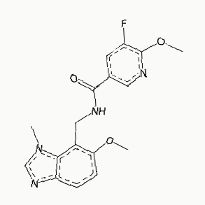 COc1ccc2ncn(C)c2c1CNC(=O)c1cnc(OC)c(F)c1